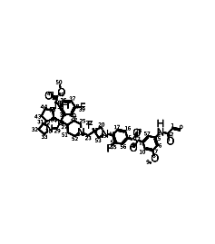 C=CC(=O)Nc1cc(OC)cc(S(=O)(=O)c2ccc(N3CC(F)(CN4CCC([C@@](CN5CCC5)(c5cccc(F)c5)[C@H]5CCC[C@@H]5NC(=O)OC)CC4)C3)c(F)c2)c1